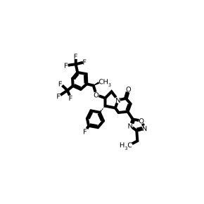 CCc1noc(C2=CC(=O)N3CC(O[C@H](C)c4cc(C(F)(F)F)cc(C(F)(F)F)c4)[C@@H](c4ccc(F)cc4)C3C2)n1